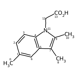 Cc1ccc2c(c1)c(C)c(C)n2CC(=O)O